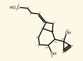 O=C(O)CC/C=C1/CC2C1CCC(O)C2C1(O)C#C1